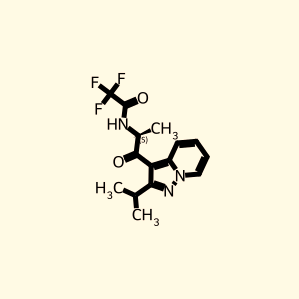 CC(C)c1nn2ccccc2c1C(=O)[C@H](C)NC(=O)C(F)(F)F